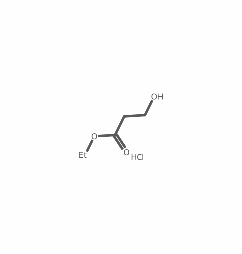 CCOC(=O)CCO.Cl